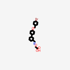 O=C(O)CO/N=C/c1cccc(-c2ccc(OCc3ccc(Br)cc3)cc2)c1